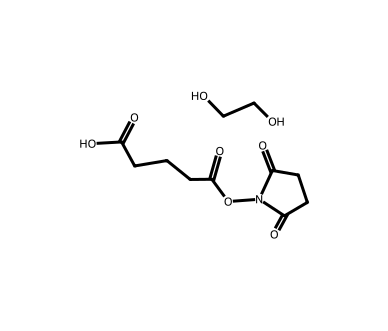 O=C(O)CCCC(=O)ON1C(=O)CCC1=O.OCCO